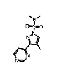 Cc1cn(S(=O)(=O)N(C)C)nc1-c1ccncn1